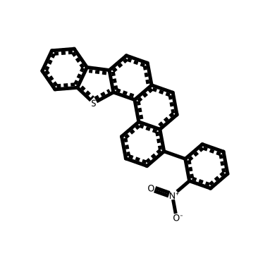 O=[N+]([O-])c1ccccc1-c1cccc2c1ccc1ccc3c4ccccc4sc3c12